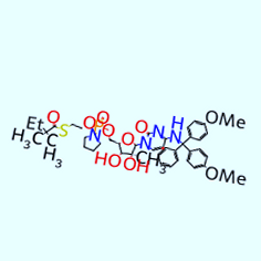 CCC(C)(C)C(=O)SCCOP(=O)(OC[C@H]1O[C@@H](n2ccc(NC(c3ccccc3)(c3ccc(OC)cc3)c3ccc(OC)cc3)nc2=O)[C@@](C)(O)C1O)N1CCCC1